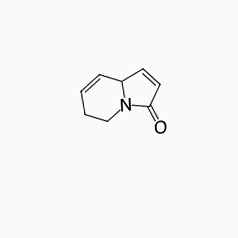 O=C1C=CC2C=CCCN12